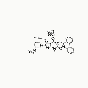 CC#CCn1c(N2CCCC(N)C2)nc2c1c(=O)n(Cc1nc3ccccc3c3ccccc13)c(=O)n2C.Cl.Cl